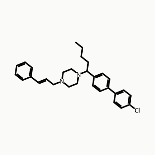 CCCCC(c1ccc(-c2ccc(Cl)cc2)cc1)N1CCN(CC=Cc2ccccc2)CC1